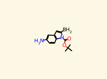 Bc1cc2cc(N)ccc2n1C(=O)OC(C)(C)C